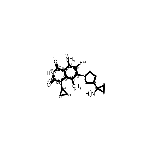 Cc1c(N2CCC(C3(N)CC3)C2)c(F)c(N)c2c(=O)[nH]c(=O)n(C3CC3)c12